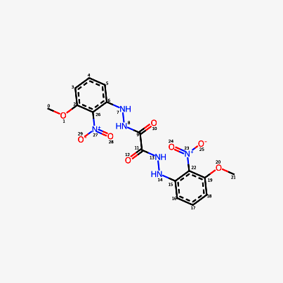 COc1cccc(NNC(=O)C(=O)NNc2cccc(OC)c2[N+](=O)[O-])c1[N+](=O)[O-]